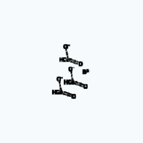 [B+3].[O]=[GeH][O-].[O]=[GeH][O-].[O]=[GeH][O-]